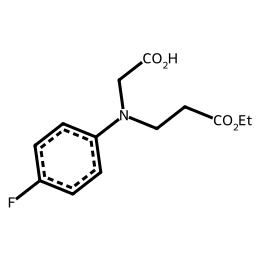 CCOC(=O)CCN(CC(=O)O)c1ccc(F)cc1